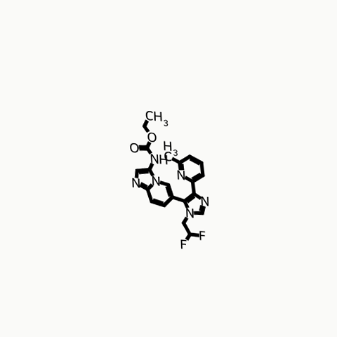 CCOC(=O)Nc1cnc2ccc(-c3c(-c4cccc(C)n4)ncn3CC(F)F)cn12